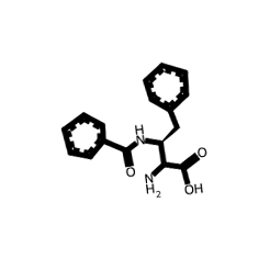 NC(C(=O)O)[C@H](Cc1ccccc1)NC(=O)c1ccccc1